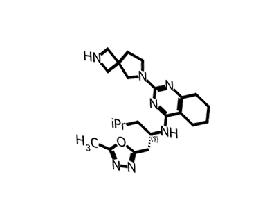 Cc1nnc(C[C@H](CC(C)C)Nc2nc(N3CCC4(CNC4)C3)nc3c2CCCC3)o1